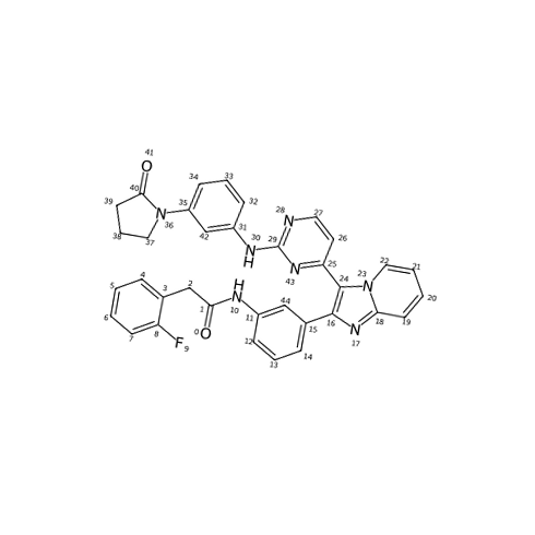 O=C(Cc1ccccc1F)Nc1cccc(-c2nc3ccccn3c2-c2ccnc(Nc3cccc(N4CCCC4=O)c3)n2)c1